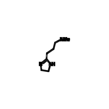 CNCCCC1=NCCN1